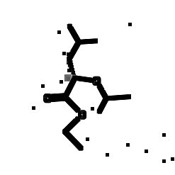 CCOC(=O)[C@H](CC(C)C)OC(C)C